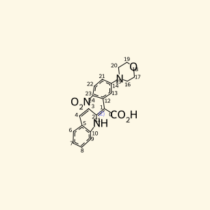 O=C(O)/C(=C1/C=Cc2ccccc2N1)c1cc(N2CCOCC2)ccc1[N+](=O)[O-]